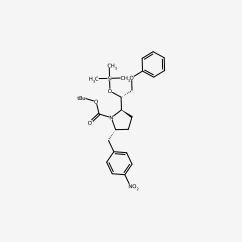 CC(C)(C)OC(=O)N1[C@@H](Cc2ccc([N+](=O)[O-])cc2)CC[C@@H]1[C@@H](COc1ccccc1)O[Si](C)(C)C